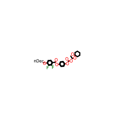 CCCCCCCCCCOc1ccc(C(=O)Oc2ccc(OC(=O)O[C@@H]3COC4(CCCCC4)O3)cc2)c(F)c1F